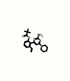 C=Cc1cccc(OC(=O)C(C)(C)C)c1-c1cc(N2CCCCC2)nc(N)n1